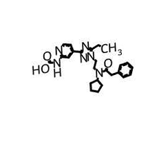 CCc1nc(-c2ccnc(NC(=O)O)c2)nn1CCN(C(=O)Cc1ccccc1)C1CCCC1